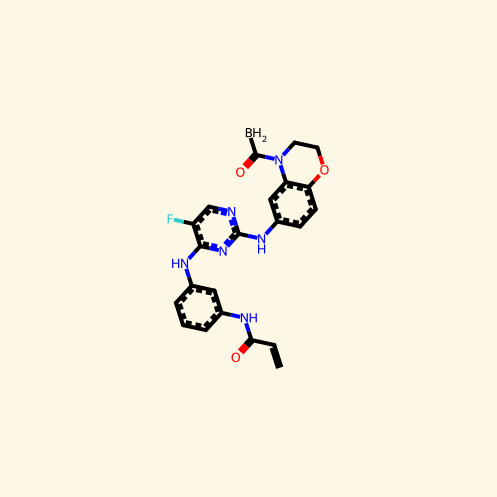 BC(=O)N1CCOc2ccc(Nc3ncc(F)c(Nc4cccc(NC(=O)C=C)c4)n3)cc21